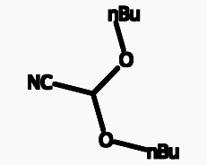 CCCCOC(C#N)OCCCC